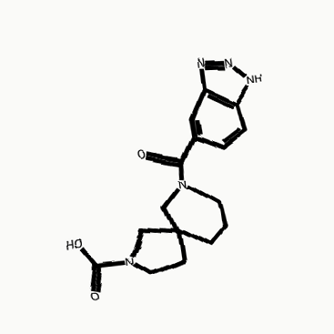 O=C(O)N1CCC2(CCCN(C(=O)c3ccc4[nH]nnc4c3)C2)C1